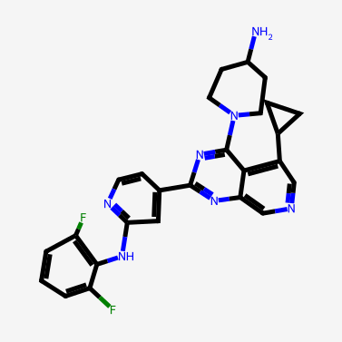 NC1CCN(c2nc(-c3ccnc(Nc4c(F)cccc4F)c3)nc3cncc(C4CC4)c23)CC1